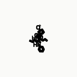 CCCCC(CCCC)(CNc1ccccc1)NS(=O)(=O)c1cccc(OC)c1